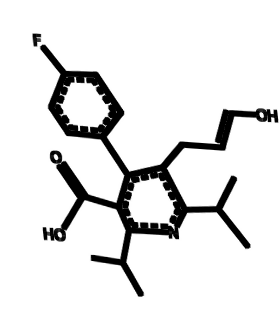 CC(C)c1nc(C(C)C)c(C(=O)O)c(-c2ccc(F)cc2)c1CC=CO